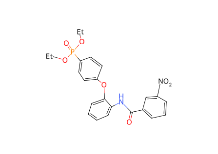 CCOP(=O)(OCC)c1ccc(Oc2ccccc2NC(=O)c2cccc([N+](=O)[O-])c2)cc1